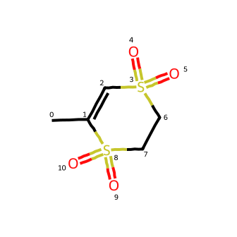 CC1=CS(=O)(=O)CCS1(=O)=O